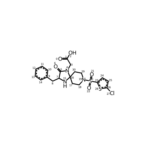 O=C(O)CN1C(=O)C(Cc2ccccc2)NC12CCN(S(=O)(=O)c1ccc(Cl)s1)CC2